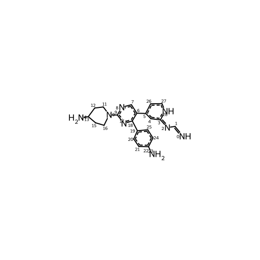 N=C/N=c1/cc(-c2cnc(N3CCC(N)CC3)nc2-c2ccc(N)cc2)cc[nH]1